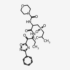 CCC(NC(=O)C(CS(=O)(=O)CC(C)C)NC(=O)N1CCOCC1)C(=O)c1nc(-c2ccccc2)no1